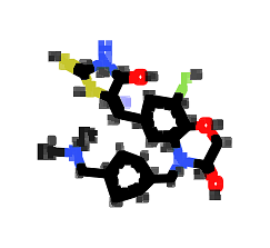 CCN(CC)Cc1ccc(CN2C(=O)COc3c(F)cc(/C=C4/SC(=S)NC4=O)cc32)cc1